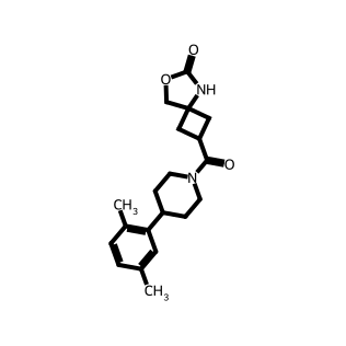 Cc1ccc(C)c(C2CCN(C(=O)C3CC4(COC(=O)N4)C3)CC2)c1